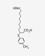 CCCCCCCCCCCCCCCCCCC(CC(=O)O)Sc1ccc(C)cc1